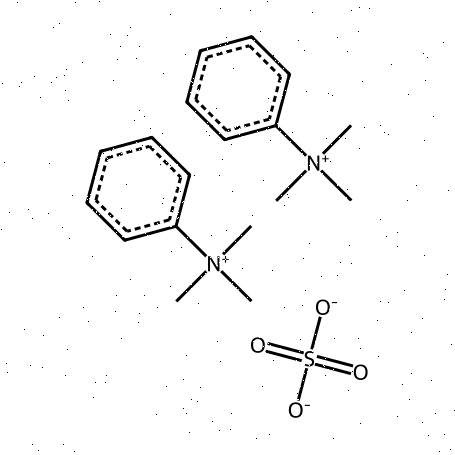 C[N+](C)(C)c1ccccc1.C[N+](C)(C)c1ccccc1.O=S(=O)([O-])[O-]